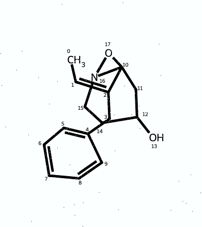 C/C=C(/Cc1ccccc1)C12CC(O)CCN1O2